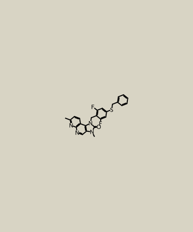 Cc1ccc2c(ncc3c2n(Cc2c(F)cc(SCc4ccccc4)cc2F)c(=O)n3C)n1